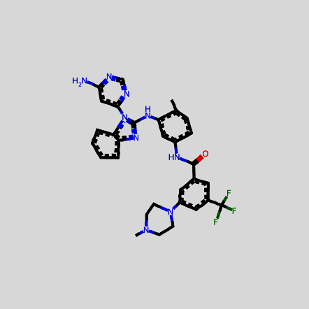 Cc1ccc(NC(=O)c2cc(N3CCN(C)CC3)cc(C(F)(F)F)c2)cc1Nc1nc2ccccc2n1-c1cc(N)ncn1